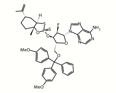 C=C(C)[C@H]1CC[C@@]2(C)OP(=S)(O[C@H]3[C@@H](F)[C@H](n4cnc5c(N)ncnc54)O[C@@H]3COC(c3ccccc3)(c3ccc(OC)cc3)c3ccc(OC)cc3)S[C@@H]2C1